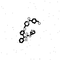 O=Cc1ccc(C(=O)N2CCC(COc3cccc([C@@H](NC(=O)O[C@H]4CN5CCC4C5)c4ccccc4)c3)CC2)cc1